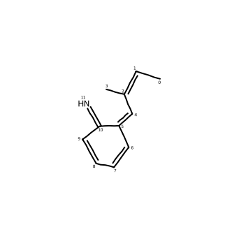 C/C=C(C)\C=C1\C=CC=CC1=N